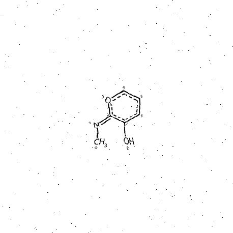 C/N=c1/occcc1O